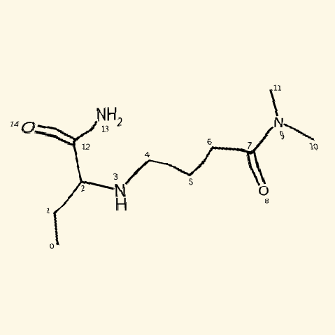 CCC(NCCCC(=O)N(C)C)C(N)=O